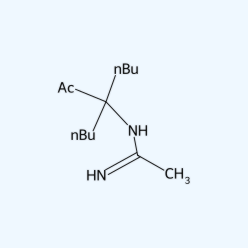 CCCCC(CCCC)(NC(C)=N)C(C)=O